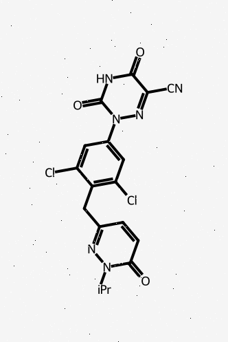 CC(C)n1nc(Cc2c(Cl)cc(-n3nc(C#N)c(=O)[nH]c3=O)cc2Cl)ccc1=O